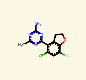 Cc1nc(N)nc(-c2c(Cl)cc(Cl)c3c2CCO3)n1